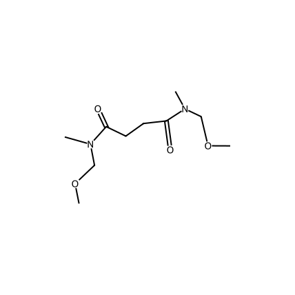 COCN(C)C(=O)CCC(=O)N(C)COC